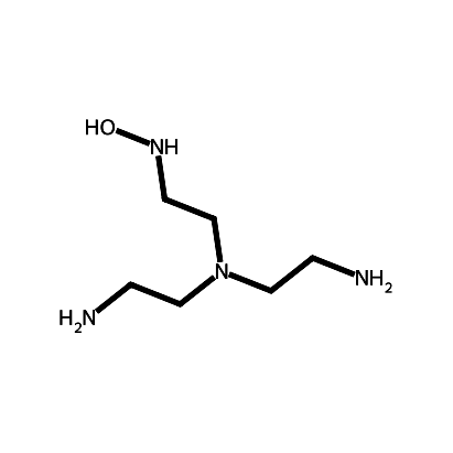 NCCN(CCN)CCNO